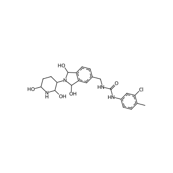 Cc1ccc(NC(=O)NCc2ccc3c(c2)C(O)N(C2CCC(O)NC2O)C3O)cc1Cl